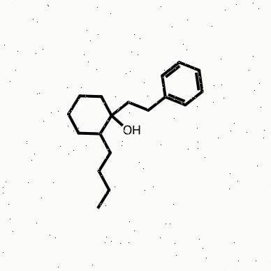 CCCCC1CCCCC1(O)CCc1ccccc1